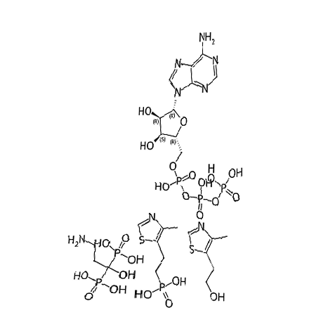 Cc1ncsc1CCO.Cc1ncsc1CCP(=O)(O)O.NCCC(O)(P(=O)(O)O)P(=O)(O)O.Nc1ncnc2c1ncn2[C@@H]1O[C@H](COP(=O)(O)OP(=O)(O)OP(=O)(O)O)[C@@H](O)[C@H]1O